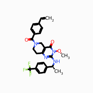 C=Cc1ccc(C(=O)N2CCc3nc(N[C@@H](C)c4ccc(C(F)(F)F)cc4)n(OC)c(=O)c3C2)cc1